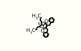 CCC[CH2][Sn+2][CH2]CCC.O=C([O-])/C(Cc1ccccc1)=C(/Cc1ccccc1)C(=O)[O-]